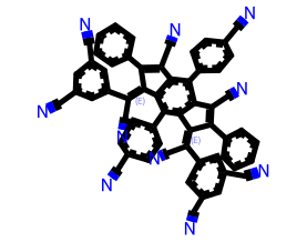 N#CC1=C(c2ccccc2)/C(=C(/C#N)c2cc(C#N)cc(C#N)c2)c2c1c(-c1ccc(C#N)cc1)c1c(c2-c2ccc(C#N)cc2)/C(=C(\C#N)c2cc(C#N)cc(C#N)c2)C(c2ccccc2)=C1C#N